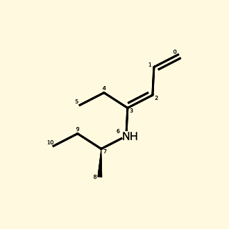 C=C/C=C(\CC)N[C@@H](C)CC